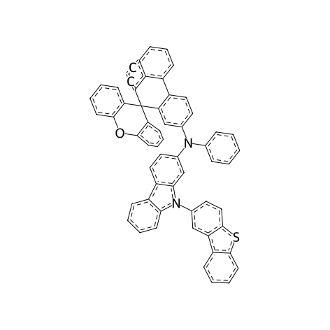 c1ccc(N(c2ccc3c(c2)C2(c4ccccc4Oc4ccccc42)c2cccc4cccc-3c24)c2ccc3c4ccccc4n(-c4ccc5sc6ccccc6c5c4)c3c2)cc1